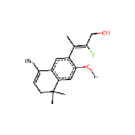 CCOc1cc2c(cc1C(C)=C(F)CO)C(C(C)(C)C)=CCC2(C)C